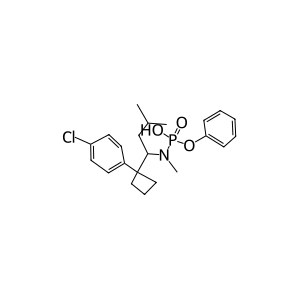 CC(C)CC(N(C)P(=O)(O)Oc1ccccc1)C1(c2ccc(Cl)cc2)CCC1